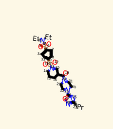 CCN(CC)S(=O)(=O)c1ccc(S(=O)(=O)N2CCCC(C(=O)N3CCN(c4nc(C(C)C)no4)CC3)C2)cc1